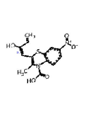 C=C/C(O)=C\C1=C(C)N(C(=O)O)c2ccc([N+](=O)[O-])cc2S1